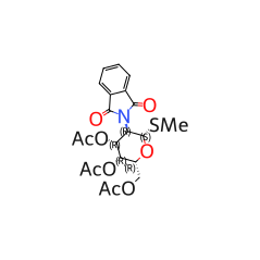 CS[C@@H]1O[C@H](COC(C)=O)[C@H](OC(C)=O)[C@H](OC(C)=O)[C@H]1N1C(=O)c2ccccc2C1=O